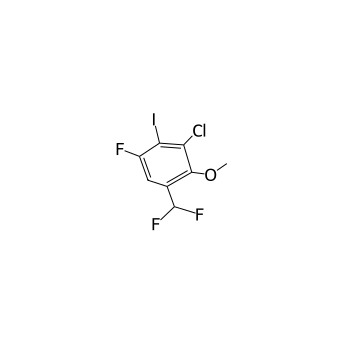 COc1c(C(F)F)cc(F)c(I)c1Cl